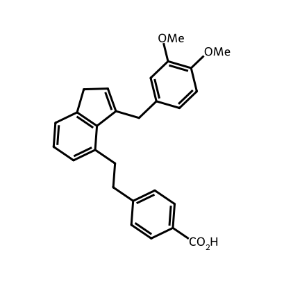 COc1ccc(CC2=CCc3cccc(CCc4ccc(C(=O)O)cc4)c32)cc1OC